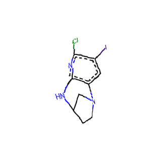 Clc1nc2c(cc1I)N1CCC(C1)N2